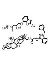 CC(=O)c1cc2cccc(OCC(O)CNC(C)C)c2o1.C[C@]12CCC(=O)C=C1CC[C@@H]1[C@@H]2[C@@H](O)C[C@@]2(C)[C@H]1CC[C@]2(O)C(=O)COC(=O)COc1nn(Cc2ccccc2)c2ccccc12.Cl